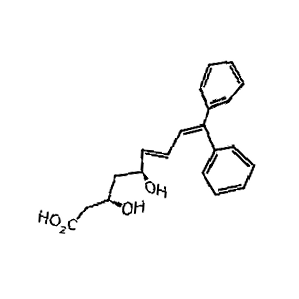 O=C(O)C[C@H](O)C[C@H](O)/C=C/C=C(c1ccccc1)c1ccccc1